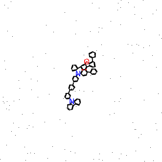 c1ccc(-c2ccc(N(c3ccc(-c4ccc(-c5cccc(-n6c7ccccc7c7ccccc76)c5)cc4)cc3)c3ccccc3-c3ccc4c(c3)oc3c(-c5ccccc5)cccc34)cc2)cc1